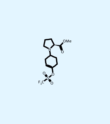 COC(=O)[C@@H]1CCCN1C1CC=C(OS(=O)(=O)C(F)(F)F)CC1